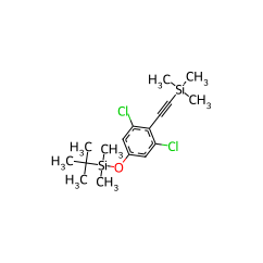 CC(C)(C)[Si](C)(C)Oc1cc(Cl)c(C#C[Si](C)(C)C)c(Cl)c1